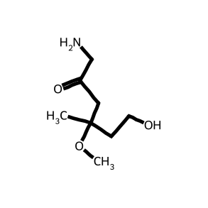 COC(C)(CCO)CC(=O)CN